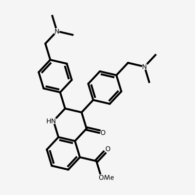 COC(=O)c1cccc2c1C(=O)C(c1ccc(CN(C)C)cc1)C(c1ccc(CN(C)C)cc1)N2